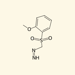 COc1ccccc1S(=O)(=O)CN=N